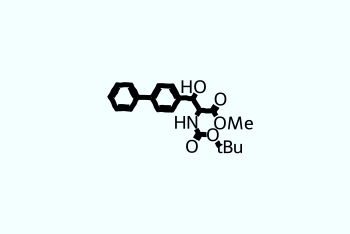 COC(=O)C(NC(=O)OC(C)(C)C)C(O)c1ccc(-c2ccccc2)cc1